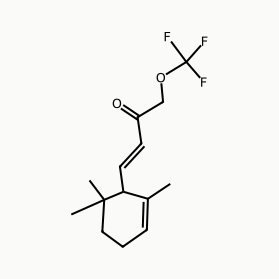 CC1=CCCC(C)(C)C1/C=C/C(=O)COC(F)(F)F